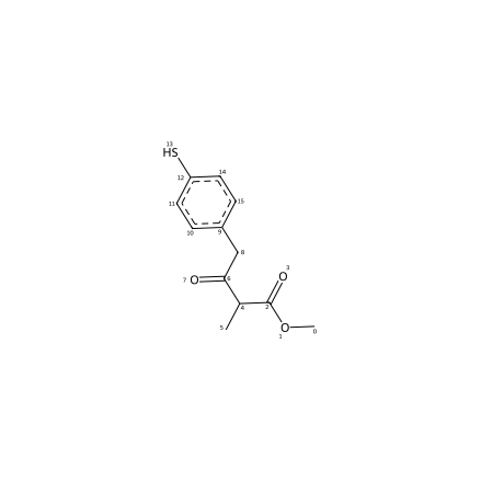 COC(=O)C(C)C(=O)Cc1ccc(S)cc1